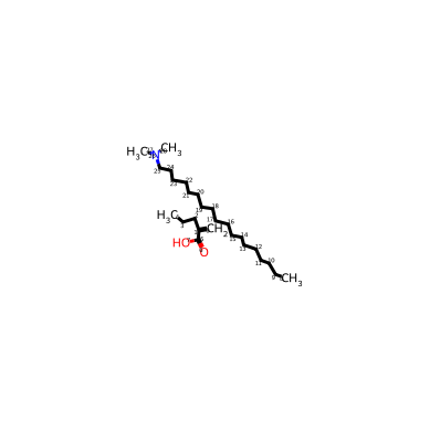 C=C(CCC)C(=O)O.CCCCCCCCCCCCCCCCCCN(C)C